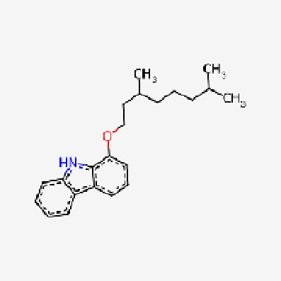 CC(C)CCCC(C)CCOc1cccc2c1[nH]c1ccccc12